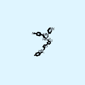 Cc1ccc([C@@H](C)NCc2ccc(-c3ccc(Cl)c(C(=O)N[C@H](/C=C/c4ccc(C#N)cc4)CNC4CCNCC4)c3)o2)cc1